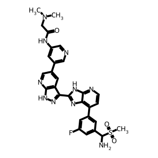 CN(C)CC(=O)Nc1cncc(-c2cnc3[nH]nc(-c4nc5c(-c6cc(F)cc(C(N)S(C)(=O)=O)c6)ccnc5[nH]4)c3c2)c1